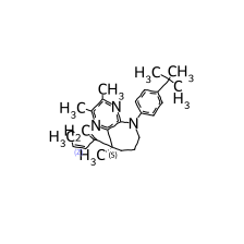 C=C(/C=C\C)[C@]1(C)CCCN(c2ccc(C(C)(C)C)cc2)c2nc(C)c(C)nc21